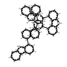 c1ccc(-c2nc(-c3cccc(-c4cccc5c4sc4ccccc45)c3)nc(-c3cccc4sc5cccc(-c6nc(-c7ccccc7)c7sc8ccccc8c7n6)c5c34)n2)cc1